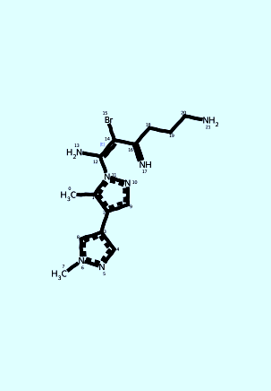 Cc1c(-c2cnn(C)c2)cnn1/C(N)=C(/Br)C(=N)CCCN